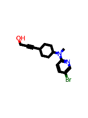 CN(c1ccc(Br)cn1)C1CCC(C#CCO)CC1